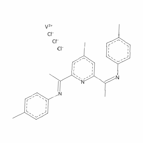 CC(=Nc1ccc(C)cc1)c1cc(C)cc(C(C)=Nc2ccc(C)cc2)n1.[Cl-].[Cl-].[Cl-].[V+3]